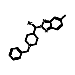 CC(=O)C(C1CCN(Cc2ccccc2)CC1)n1nc2ccc(C)cc2n1